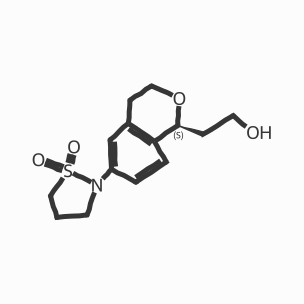 O=S1(=O)CCCN1c1ccc2c(c1)CCO[C@H]2CCO